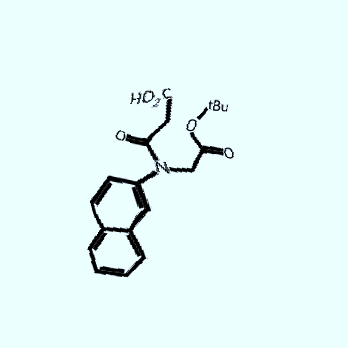 CC(C)(C)OC(=O)CN(C(=O)CC(=O)O)c1ccc2ccccc2c1